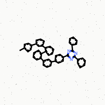 Cc1ccc(-c2cccc(-c3ccccc3-c3ccccc3-c3cccc(-c4ccc(-c5nc(-c6ccccc6)nc(-c6ccccc6)n5)cc4)c3)c2)cc1